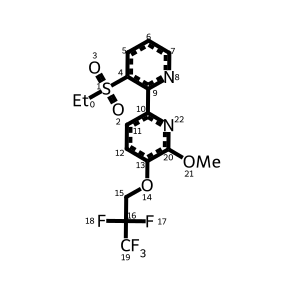 CCS(=O)(=O)c1cccnc1-c1ccc(OCC(F)(F)C(F)(F)F)c(OC)n1